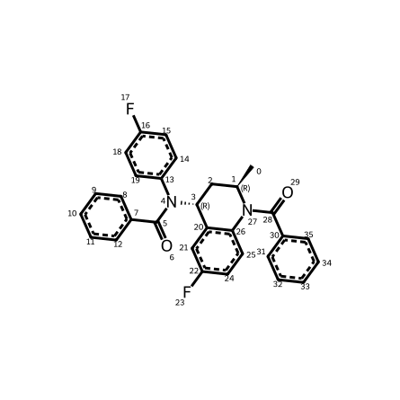 C[C@@H]1C[C@@H](N(C(=O)c2ccccc2)c2ccc(F)cc2)c2cc(F)ccc2N1C(=O)c1ccccc1